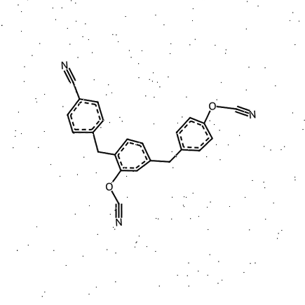 N#COc1ccc(Cc2ccc(Cc3ccc(C#N)cc3)c(OC#N)c2)cc1